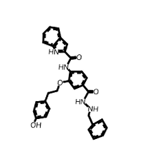 O=C(NNCc1ccccc1)c1ccc(NC(=O)c2cc3ccccc3[nH]2)c(OCCc2ccc(O)cc2)c1